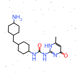 Cc1cc(=O)nc(NC(=O)NC2CCC(CC3CCC(N)CC3)CC2)[nH]1